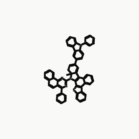 CC12CC=C(c3ccc4c(c3)c3ccccc3n4-c3ccccc3)C=C1c1c(c3sc4ccccc4c3c3ccccc13)N2c1nc(-c2ccccc2)c2ccc3ccccc3c2n1